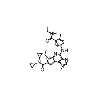 CCNC(=O)c1nc(Nc2nc3c(cc(C(=O)N(C4CC4)C4CC4)n3CC)c3c2ncn3C)sc1C